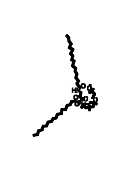 CCCCCCCCCCCCCCCCCC(=O)NCC(OC(=O)CCCCCCCCCCCCCCCCC)C(=O)NC(C)(C)CC(C)(C)CC(C)(C)OCCC(C)(C)OC